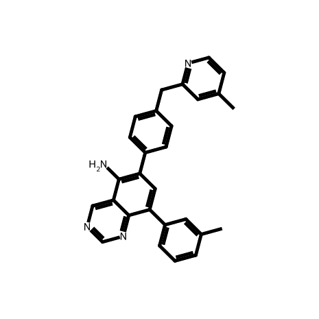 Cc1cccc(-c2cc(-c3ccc(Cc4cc(C)ccn4)cc3)c(N)c3cncnc23)c1